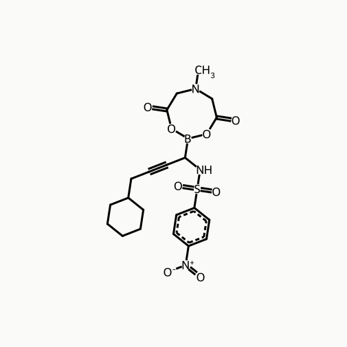 CN1CC(=O)OB(C(C#CCC2CCCCC2)NS(=O)(=O)c2ccc([N+](=O)[O-])cc2)OC(=O)C1